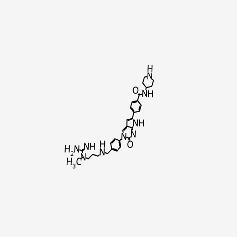 CN(CCCNCc1ccc(-n2cc3cc(-c4ccc(C(=O)NC5CCNCC5)cc4)[nH]c3nc2=O)cc1)C(=N)N